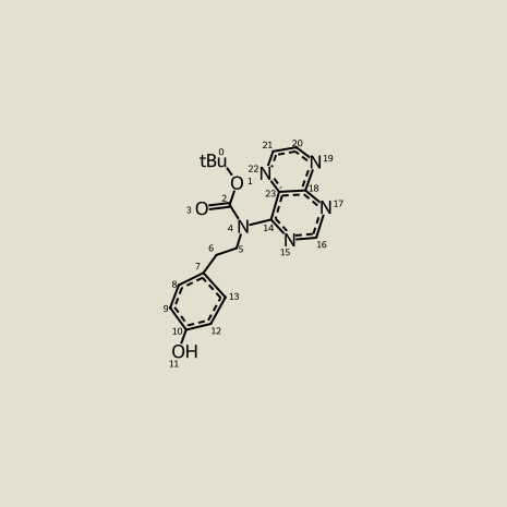 CC(C)(C)OC(=O)N(CCc1ccc(O)cc1)c1ncnc2nccnc12